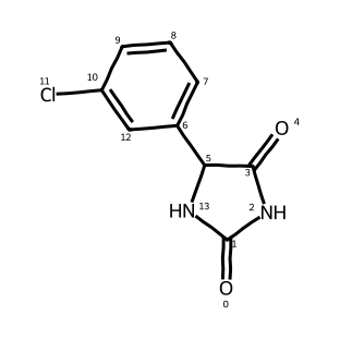 O=C1NC(=O)C(c2cccc(Cl)c2)N1